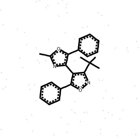 Cc1nc(-c2c(C(C)(C)C)noc2-c2ccccc2)c(-c2ccccc2)o1